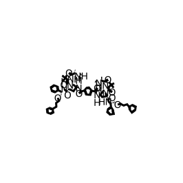 CN[C@@H](C)C(=O)N[C@H](C(=O)N1C[C@@H](NC(=O)c2ccc(C(=O)N[C@H]3C[C@@H](C(=O)N[C@H](COCCCc4ccccc4)c4ccccc4)N(C(=O)[C@@H](NC(=O)[C@H](C)NC)C(C)(C)C)C3)cc2)C[C@H]1C(=O)N[C@H](COCCCc1ccccc1)c1ccccc1)C(C)(C)C